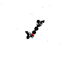 CC(C)CC(=O)N1CCC[C@H]1c1ncc(-c2ccc(-c3ccc(-c4cnc([C@@H]5CCCN5C(=O)CC(C)C)s4)cc3)cc2)s1